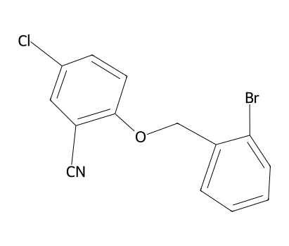 N#Cc1cc(Cl)ccc1OCc1ccccc1Br